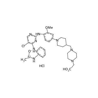 COc1cc(N2CCC(CN3CCN(CC(=O)O)CC3)CC2)ccc1Nc1ncc(Cl)c(Nc2ccccc2N[S+](C)[O-])n1.Cl